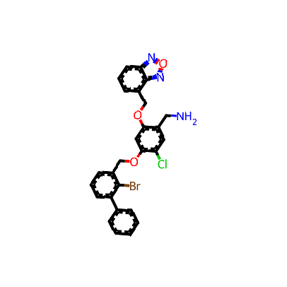 NCc1cc(Cl)c(OCc2cccc(-c3ccccc3)c2Br)cc1OCc1cccc2nonc12